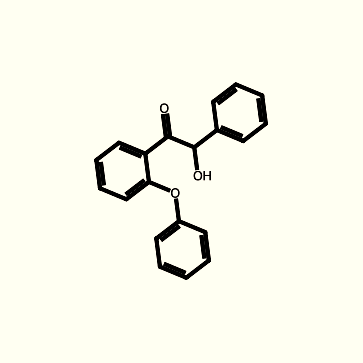 O=C(c1ccccc1Oc1ccccc1)C(O)c1ccccc1